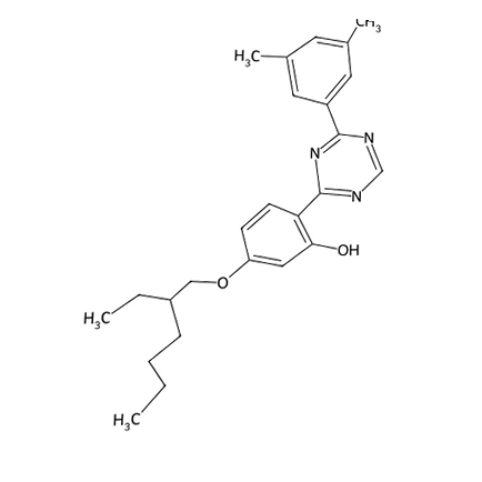 CCCCC(CC)COc1ccc(-c2ncnc(-c3cc(C)cc(C)c3)n2)c(O)c1